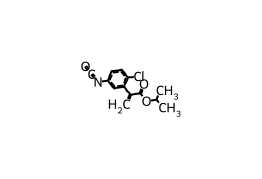 C=C(C(=O)OC(C)C)c1cc(N=C=O)ccc1Cl